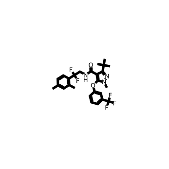 Cc1ccc(C(F)(F)CNC(=O)c2c(C(C)(C)C)nn(C)c2Oc2cccc(C(F)(F)F)c2)c(C)c1